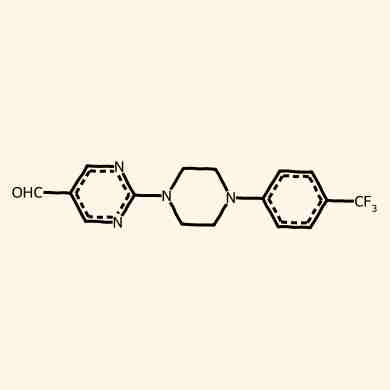 O=Cc1cnc(N2CCN(c3ccc(C(F)(F)F)cc3)CC2)nc1